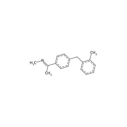 C/N=C(\C)c1ccc(Cc2ccccc2C)cc1